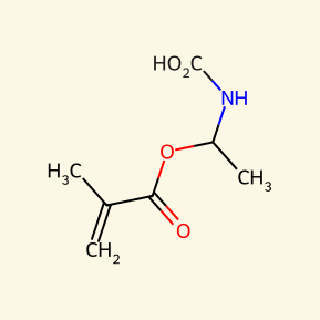 C=C(C)C(=O)OC(C)NC(=O)O